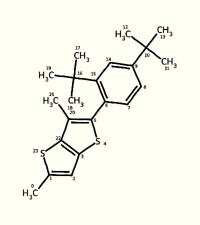 Cc1cc2sc(-c3ccc(C(C)(C)C)cc3C(C)(C)C)c(C)c2s1